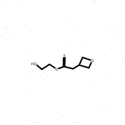 OCCOC(=S)CC1COC1